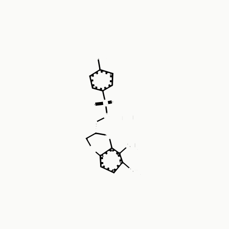 Cc1ccc(S(=O)(=O)OC[C@H]2COc3ccc(N)c(N)c3O2)cc1.Cl.Cl